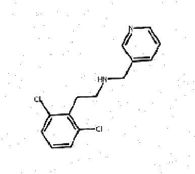 Clc1cccc(Cl)c1CCNCc1cccnc1